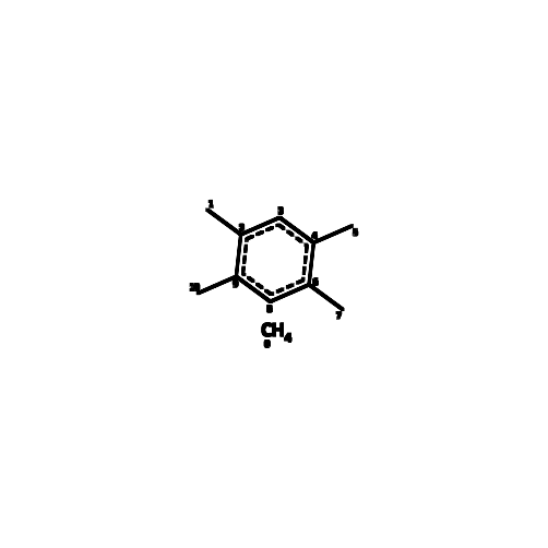 C.Cc1cc(C)c(C)cc1C